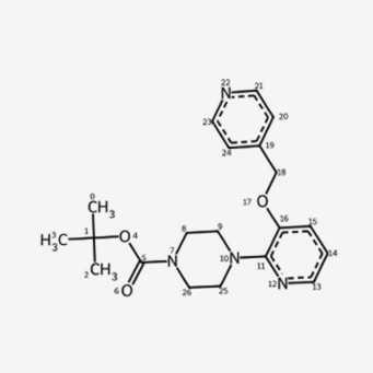 CC(C)(C)OC(=O)N1CCN(c2ncccc2OCc2ccncc2)CC1